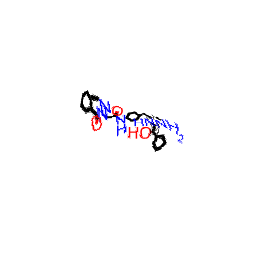 CC[C@@H](Cc1ccc(NC(=O)Cn2ncc3ccccc3c2=O)cc1)N[C@H](N)[C@H](O)c1ccccc1